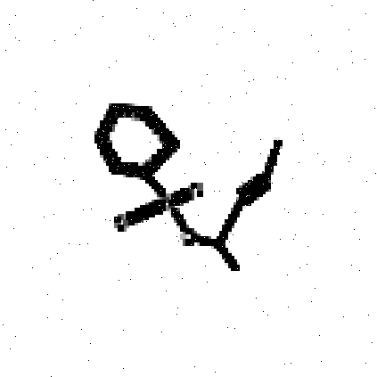 CC#CC(C)OS(=O)(=O)c1ccccc1